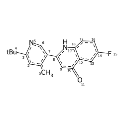 Cc1cc(C(C)(C)C)ncc1-c1cc(=O)c2cc(F)ccc2[nH]1